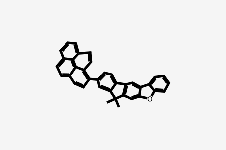 CC1(C)c2cc(-c3ccc4ccc5cccc6ccc3c4c56)ccc2-c2cc3c(cc21)oc1ccccc13